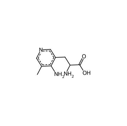 Cc1cncc(CC(N)C(=O)O)c1N